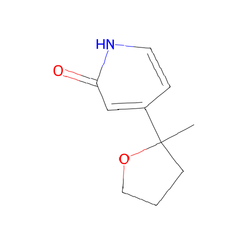 CC1(c2cc[nH]c(=O)c2)CCCO1